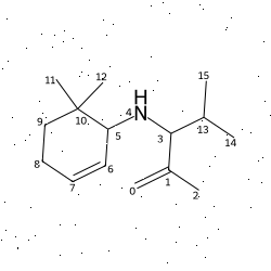 C=C(C)C(NC1C=CCCC1(C)C)C(C)C